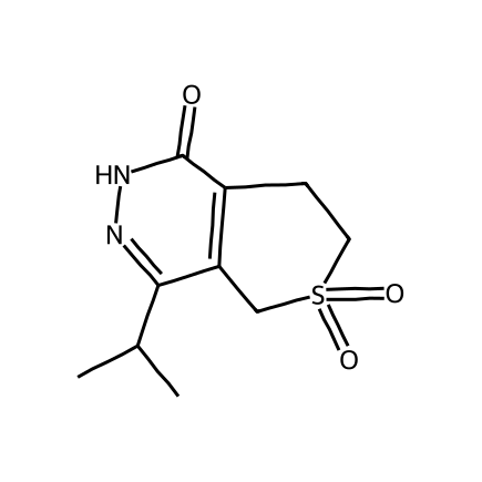 CC(C)c1n[nH]c(=O)c2c1CS(=O)(=O)CC2